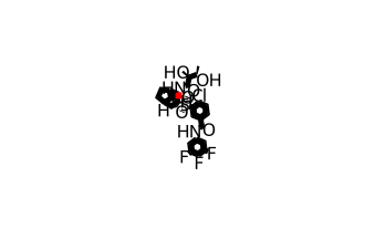 C[C@@H](O)[C@H](O)C(=O)NC[C@@]1(O)C2CC[C@H]1C[C@H](S(=O)(=O)c1cc(C(=O)Nc3cc(F)c(F)c(F)c3)ccc1Cl)C2